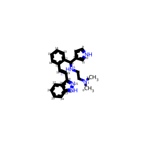 CN(C)CCNC(c1cc[nH]c1)c1ccccc1/C=C/c1n[nH]c2ccccc12